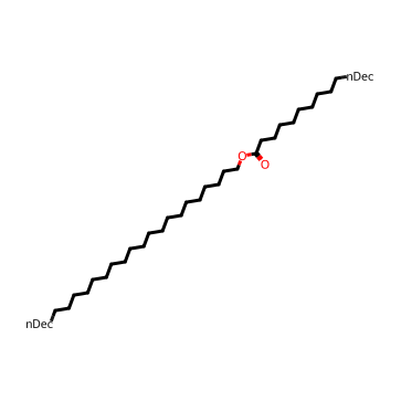 CCCCCCCCCCCCCCCCCCCCCCCCCCCCCCOC(=O)CCCCCCCCCCCCCCCCCCC